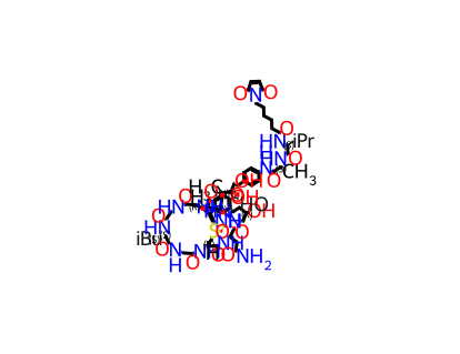 CC[C@H](C)[C@@H]1NC(=O)CNC(=O)[C@H]2Cc3c([nH]c4cc(OCc5ccc(NC(=O)[C@H](C)NC(=O)[C@@H](NC(=O)CCCCCN6C(=O)C=CC6=O)C(C)C)cc5)ccc34)[S+]([O-])C[C@H](NC(=O)CNC1=O)C(=O)NC(CC(N)=O)C(=O)N1C[C@H](O)CC1(C=O)N[C@@H]([C@@H](C)[C@@H](O)CO)C(=O)N2